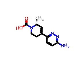 C[C@@H]1C=C(c2ccc(N)nn2)CCN1C(=O)O